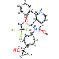 O=C1c2ccnc(-c3ccccc3OCC(F)(F)F)c2CN1c1ccc(C2(O)CC2)cc1